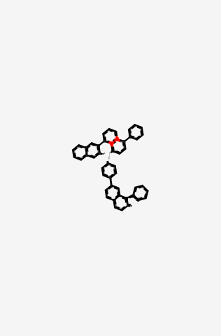 c1ccc(-c2ccc(N(c3ccc(-c4ccc5ccc6oc7ccccc7c6c5c4)cc3)c3cc4ccccc4cc3-c3ccccc3)cc2)cc1